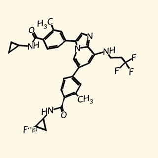 Cc1cc(-c2cnc3c(NCCC(F)(F)F)cc(-c4ccc(C(=O)NC5C[C@@H]5F)c(C)c4)cn23)ccc1C(=O)NC1CC1